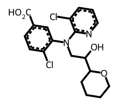 O=C(O)c1ccc(Cl)c(N(CC(O)C2CCCCO2)c2ncccc2Cl)c1